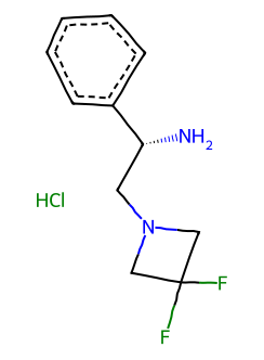 Cl.N[C@H](CN1CC(F)(F)C1)c1ccccc1